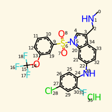 CNCc1cn(S(=O)(=O)c2cccc(OC(F)(F)F)c2)c2cc(Nc3ccc(Cl)cc3F)ccc12.Cl